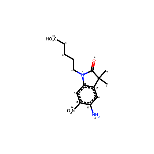 CC1(C)C(=O)N(CCCCC(=O)O)c2cc([N+](=O)[O-])c(N)cc21